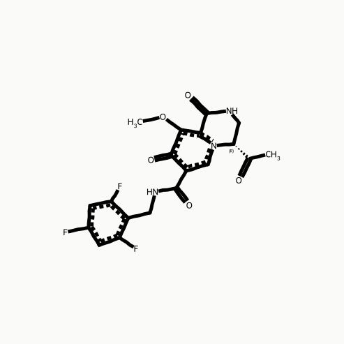 COc1c2n(cc(C(=O)NCc3c(F)cc(F)cc3F)c1=O)[C@@H](C(C)=O)CNC2=O